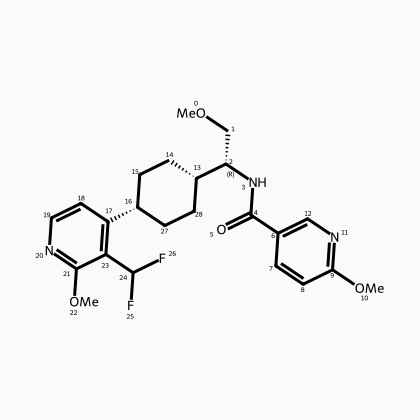 COC[C@H](NC(=O)c1ccc(OC)nc1)[C@H]1CC[C@@H](c2ccnc(OC)c2C(F)F)CC1